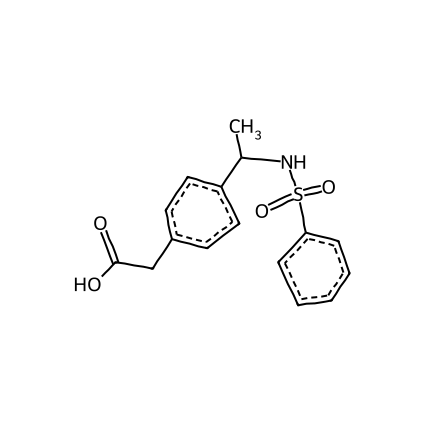 CC(NS(=O)(=O)c1ccccc1)c1ccc(CC(=O)O)cc1